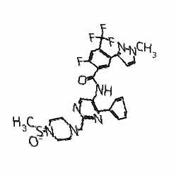 Cn1ccc(-c2cc(C(=O)Nc3cnc(CN4CCN([S+](C)[O-])CC4)nc3-c3ccccc3)c(F)cc2C(F)(F)F)n1